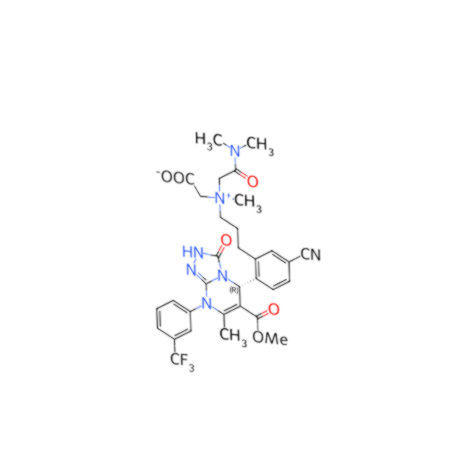 COC(=O)C1=C(C)N(c2cccc(C(F)(F)F)c2)c2n[nH]c(=O)n2[C@@H]1c1ccc(C#N)cc1CCC[N+](C)(CC(=O)[O-])CC(=O)N(C)C